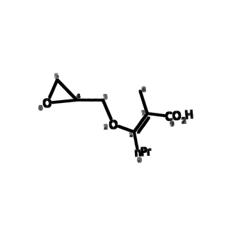 CCCC(OCC1CO1)=C(C)C(=O)O